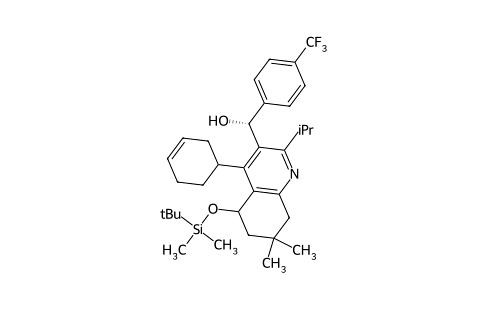 CC(C)c1nc2c(c(C3CC=CCC3)c1[C@H](O)c1ccc(C(F)(F)F)cc1)C(O[Si](C)(C)C(C)(C)C)CC(C)(C)C2